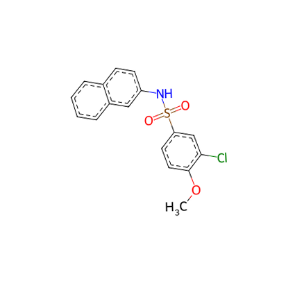 COc1ccc(S(=O)(=O)Nc2ccc3ccccc3c2)cc1Cl